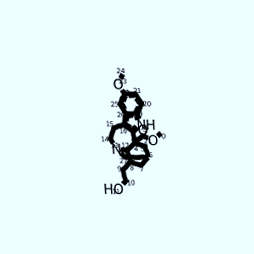 COC(=O)C12CC3CC(CCO)C1N(CCc1c2[nH]c2ccc(OC)cc12)C3